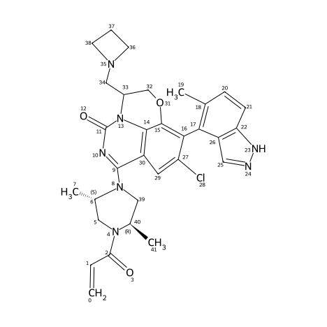 C=CC(=O)N1C[C@H](C)N(c2nc(=O)n3c4c(c(-c5c(C)ccc6[nH]ncc56)c(Cl)cc24)OCC3CN2CCC2)C[C@H]1C